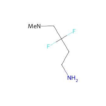 CNCC(F)(F)CCN